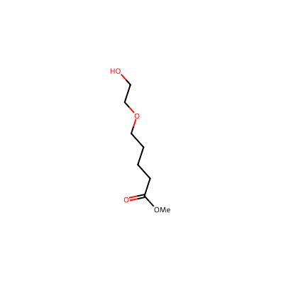 COC(=O)CCCCOCCO